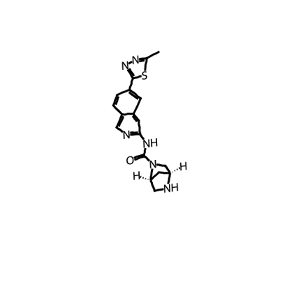 Cc1nnc(-c2ccc3cnc(NC(=O)N4C[C@@H]5C[C@H]4CN5)cc3c2)s1